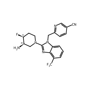 N#Cc1ccc(Cn2c(N3CC[C@H](F)[C@H](N)C3)nc3c(C(F)(F)F)cccc32)nc1